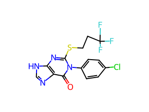 O=c1c2nc[nH]c2nc(SCCC(F)(F)F)n1-c1ccc(Cl)cc1